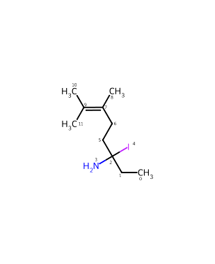 CCC(N)(I)CCC(C)=C(C)C